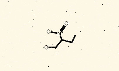 CCC(C[O])[N+](=O)[O-]